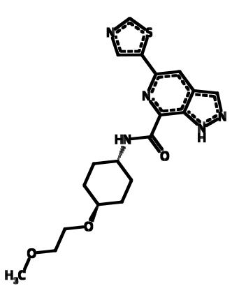 COCCO[C@H]1CC[C@H](NC(=O)c2nc(-c3cncs3)cc3cn[nH]c23)CC1